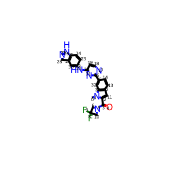 Cn1c(C(=O)N2CC(F)(F)C2)cc2ccc(-c3nccc(Nc4ccc5[nH]ncc5c4)n3)cc21